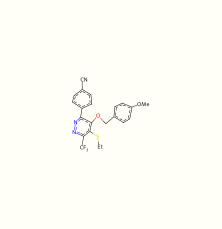 CCSc1c(C(F)(F)F)nnc(-c2ccc(C#N)cc2)c1OCc1ccc(OC)cc1